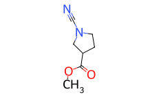 COC(=O)C1CCN(C#N)C1